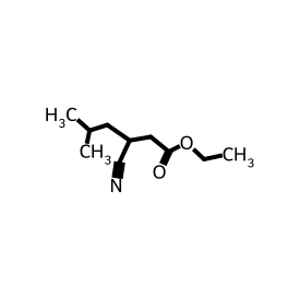 CCOC(=O)CC(C#N)CC(C)C